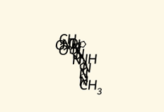 CC(=O)NC(=O)c1cc2cnc(Nc3ccc(N4CCN(C)CC4)nc3)nc2n(C2CCCC2)c1=O